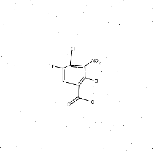 O=C(Cl)c1cc(F)c(Cl)c([N+](=O)[O-])c1Cl